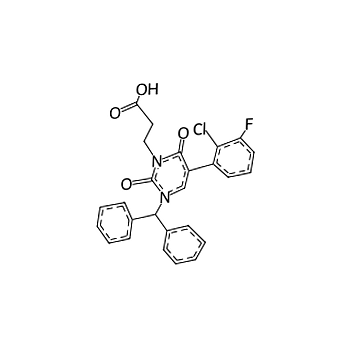 O=C(O)CCn1c(=O)c(-c2cccc(F)c2Cl)cn(C(c2ccccc2)c2ccccc2)c1=O